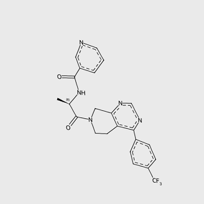 C[C@@H](NC(=O)c1cccnc1)C(=O)N1CCc2c(ncnc2-c2ccc(C(F)(F)F)cc2)C1